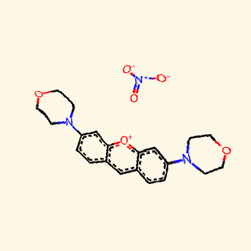 O=[N+]([O-])[O-].c1cc2cc3ccc(N4CCOCC4)cc3[o+]c2cc1N1CCOCC1